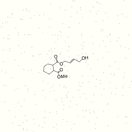 COC(=O)C1CCCCC1C(=O)OCC=CCO